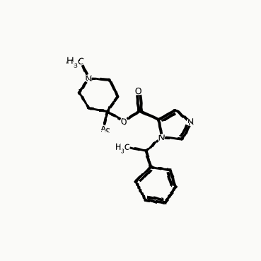 CC(=O)C1(OC(=O)c2cncn2C(C)c2ccccc2)CCN(C)CC1